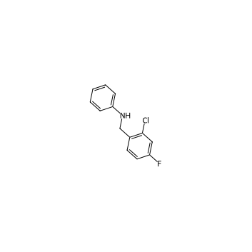 Fc1ccc(CNc2ccccc2)c(Cl)c1